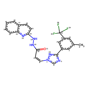 Cc1cc(-c2ncn(/C=C\C(=O)NNc3ccc4ccccc4n3)n2)cc(C(F)(F)F)c1